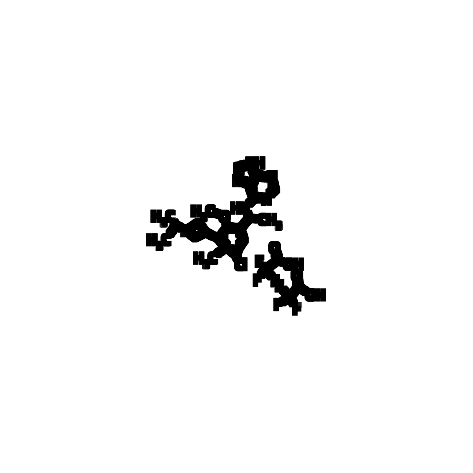 COc1c(C(C)Nc2ncnc3[nH]cnc23)cc(Cl)c(C)c1C1CN(C(C)C)C1.O=C(O)C(F)(F)F.O=C(O)C(F)(F)F